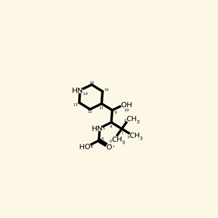 CC(C)(C)C(NC(=O)O)C(O)C1CCNCC1